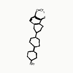 CCCC1CCC(C2CCC(C3CCc4c(ccc(OC(F)(F)F)c4F)C3)CC2)CC1